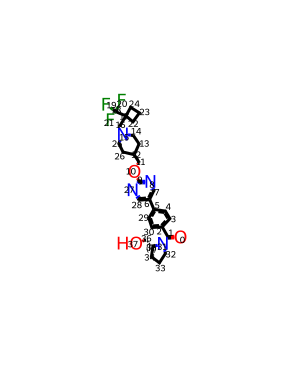 O=C(c1ccc(-c2cnc(OCC3CCN(CC4(C(F)(F)F)CCC4)CC3)nc2)cc1)N1CCC[C@@H]1CO